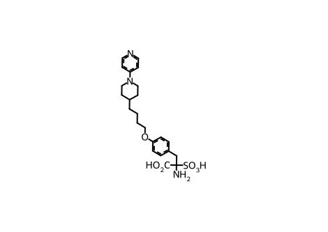 NC(Cc1ccc(OCCCCC2CCN(c3ccncc3)CC2)cc1)(C(=O)O)S(=O)(=O)O